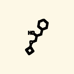 OC(COC1CCC1)CC1CCCCC1